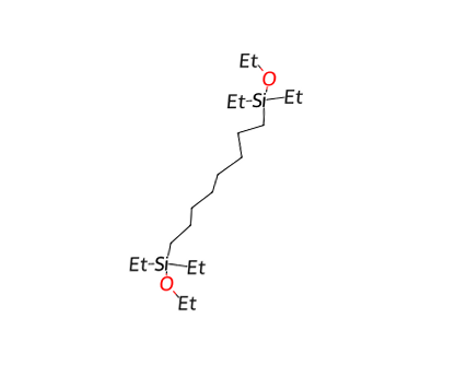 CCO[Si](CC)(CC)CCCCCCCC[Si](CC)(CC)OCC